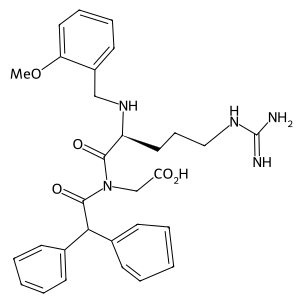 COc1ccccc1CN[C@@H](CCCNC(=N)N)C(=O)N(CC(=O)O)C(=O)C(c1ccccc1)c1ccccc1